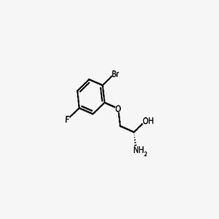 N[C@@H](O)COc1cc(F)ccc1Br